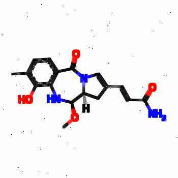 CO[C@H]1Nc2c(ccc(C)c2O)C(=O)N2C=C(/C=C/C(N)=O)C[C@@H]12